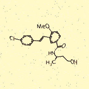 COc1ccc(C(=O)NC(C)CCO)cc1/C=C/c1ccc(Cl)cc1